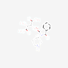 O=C(O)C(O)C(O)C(=O)O.O=C1c2ccccc2C(=O)N1[C@H]1CCCNC1